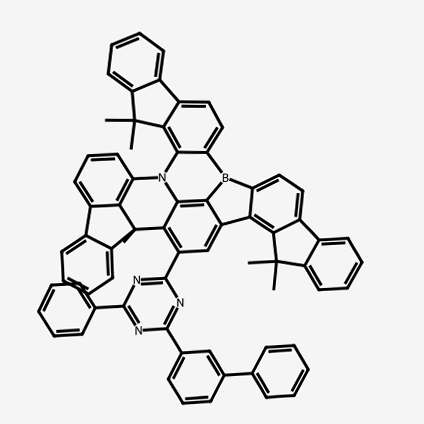 CC1(C)c2ccccc2-c2ccc3c(c21)-c1cc(-c2nc(-c4ccccc4)nc(-c4cccc(-c5ccccc5)c4)n2)c2c4c1B3c1ccc3c(c1N4c1cccc4c1C2(C)c1ccccc1-4)C(C)(C)c1ccccc1-3